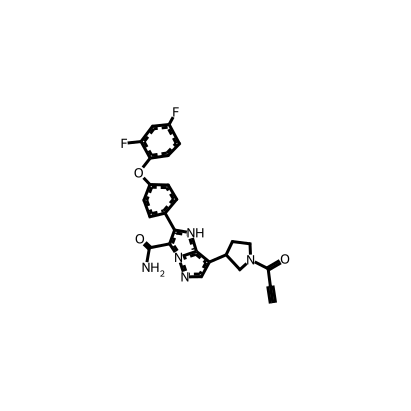 C#CC(=O)N1CCC(c2cnn3c(C(N)=O)c(-c4ccc(Oc5ccc(F)cc5F)cc4)[nH]c23)C1